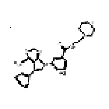 Cl.Nc1ncnc2c1c(-c1ccccc1)cn2-c1cccc(C(=O)NCCN2CCNCC2)c1